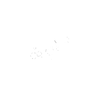 C#C[C@H](C[C@@H]1CCNC1=O)NC(=O)[C@@H]1CC2(CCCC2)CN1C(=O)c1cc2c(OC)cccc2[nH]1